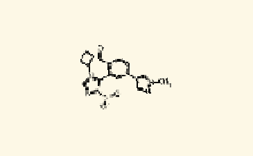 Cn1cc(-c2ccc(C=O)c(-c3c([N+](=O)[O-])ncn3C3CCC3)c2)cn1